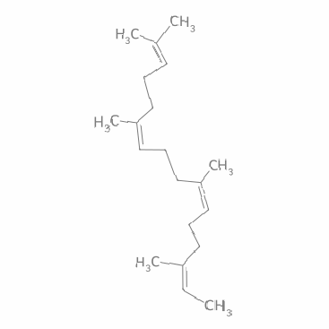 CC=C(C)CCC=C(C)CCC=C(C)CCC=C(C)C